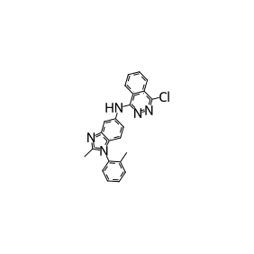 Cc1ccccc1-n1c(C)nc2cc(Nc3nnc(Cl)c4ccccc34)ccc21